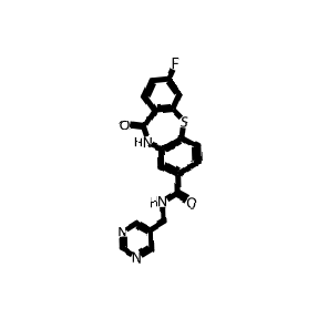 O=C(NCc1cncnc1)c1ccc2c(c1)NC(=O)c1ccc(F)cc1S2